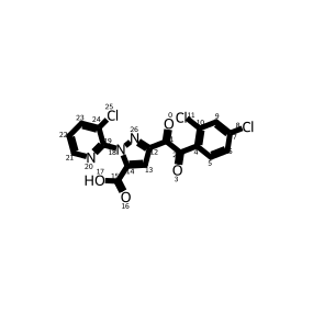 O=C(C(=O)c1ccc(Cl)cc1Cl)c1cc(C(=O)O)n(-c2ncccc2Cl)n1